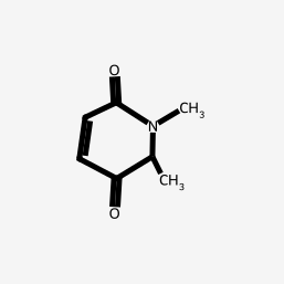 CC1C(=O)C=CC(=O)N1C